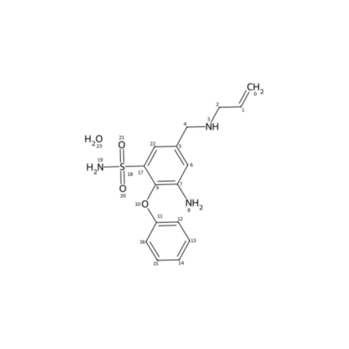 C=CCNCc1cc(N)c(Oc2ccccc2)c(S(N)(=O)=O)c1.O